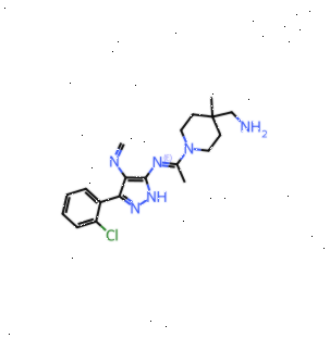 C=Nc1c(-c2ccccc2Cl)n[nH]c1/N=C(\C)N1CCC(C)(CN)CC1